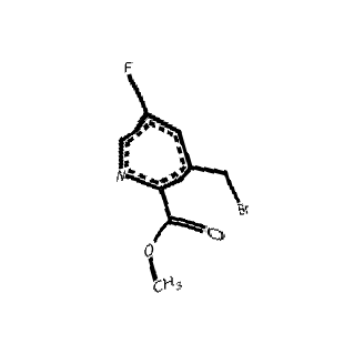 COC(=O)c1ncc(F)cc1CBr